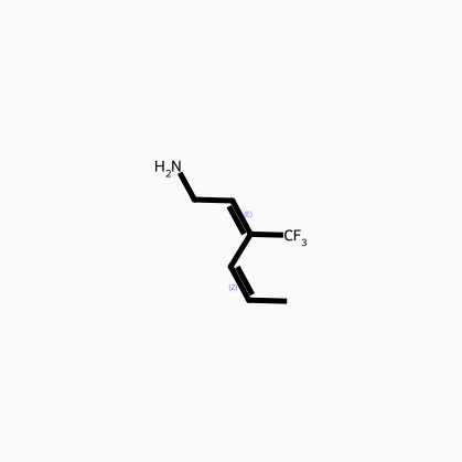 C/C=C\C(=C/CN)C(F)(F)F